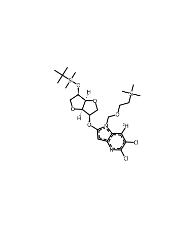 [2H]c1c(Cl)c(Cl)nc2cc(O[C@@H]3CO[C@H]4[C@@H]3OC[C@H]4O[Si](C)(C)C(C)(C)C)n(COCC[Si](C)(C)C)c12